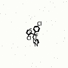 FC(Cn1ccnc1)(c1ccc(Cl)cc1)c1sccc1Cl